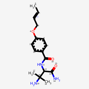 C/C=C/COc1ccc(C(=O)NC(C(N)=O)C(C)(C)N)cc1